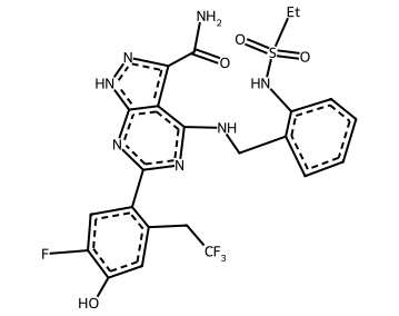 CCS(=O)(=O)Nc1ccccc1CNc1nc(-c2cc(F)c(O)cc2CC(F)(F)F)nc2[nH]nc(C(N)=O)c12